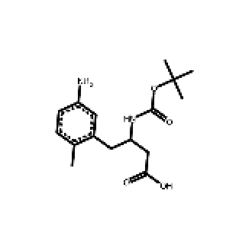 Cc1ccc(N)cc1CC(CC(=O)O)NC(=O)OC(C)(C)C